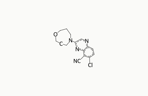 N#Cc1c(Cl)ccc2ncc(N3CCCOCCC3)nc12